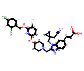 N#CCC1(Cn2c(CN3CCC(Oc4ccc(F)c(OCc5ccc(Cl)cc5F)n4)CC3)nc3ccc(/C=C/C(=O)O)cc32)CC1